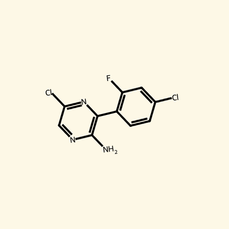 Nc1ncc(Cl)nc1-c1ccc(Cl)cc1F